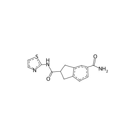 NC(=O)c1ccc2c(c1)CC(C(=O)Nc1nccs1)C2